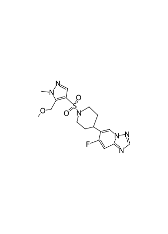 COCc1c(S(=O)(=O)N2CCC(c3cn4ncnc4cc3F)CC2)cnn1C